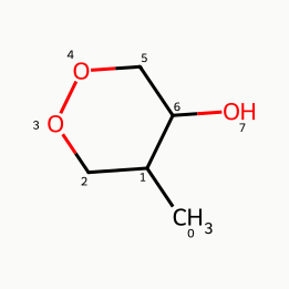 CC1COOCC1O